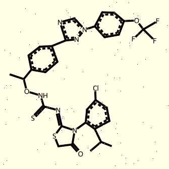 CC(C)c1ccc(Cl)cc1N1C(=O)CS/C1=N\C(=S)NOC(C)c1ccc(-c2ncn(-c3ccc(OC(F)(F)F)cc3)n2)cc1